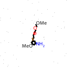 COCCOCCOCCSc1cc(N)cc(OC)c1